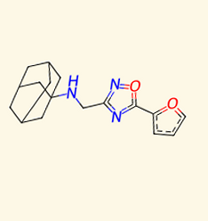 c1coc(-c2nc(CNC34CC5CC(CC(C5)C3)C4)no2)c1